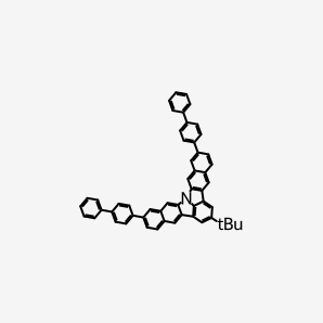 CC(C)(C)c1cc2c3cc4ccc(-c5ccc(-c6ccccc6)cc5)cc4cc3n3c4cc5cc(-c6ccc(-c7ccccc7)cc6)ccc5cc4c(c1)c23